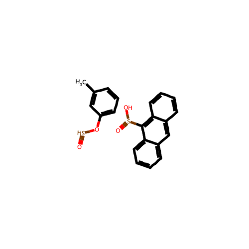 Cc1cccc(O[SH]=O)c1.O=S(O)c1c2ccccc2cc2ccccc12